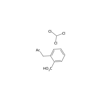 CC(=O)Cc1ccccc1C(=O)O.ClC(Cl)Cl